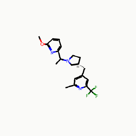 COc1cccc(C(C)N2CC[C@H](Cc3cc(C)nc(C(F)(F)F)c3)C2)n1